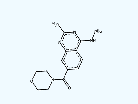 CCCCNc1nc(N)nc2cc(C(=O)N3CCOCC3)ccc12